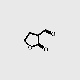 O=[C]C1CCOC1=O